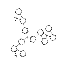 CC1(C)c2ccccc2-c2ccc(-c3ccc(N(c4ccc(-c5cccc6c5-c5ccccc5C6(C)C)cc4)c4cccc(-c5cccc6c5-c5ccccc5C65c6ccccc6-c6ccccc65)c4)cc3)cc21